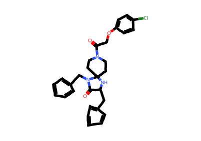 O=C(COc1ccc(Cl)cc1)N1CCC2(CC1)NC(Cc1ccccc1)C(=O)N2Cc1ccccc1